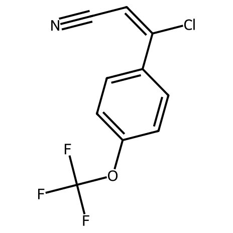 N#C/C=C(/Cl)c1ccc(OC(F)(F)F)cc1